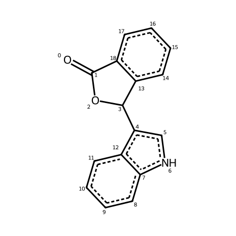 O=C1OC(c2c[nH]c3ccccc23)c2ccccc21